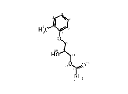 Cc1ccccc1OCC(O)COC(N)=O